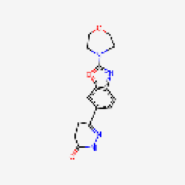 O=C1CCC(c2ccc3nc(N4CCOCC4)oc3c2)=NN1